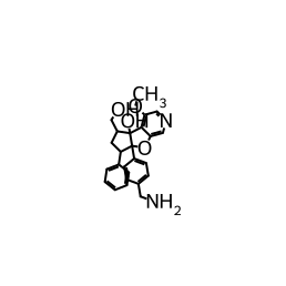 COc1cncc2c1C1(O)C(CO)CC(c3ccccc3)C1(c1ccc(CN)cc1)O2